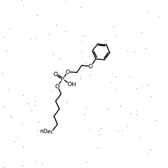 CCCCCCCCCCCCCCCOP(=O)(O)OCCOc1ccccc1